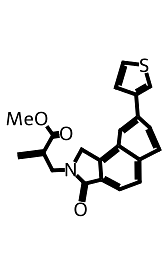 C=C(CN1Cc2c(ccc3ccc(-c4ccsc4)cc23)C1=O)C(=O)OC